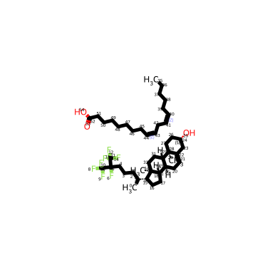 CC(CCCC(F)(C(F)(F)F)C(F)(F)F)[C@H]1CC[C@H]2[C@@H]3CC=C4C[C@@H](O)CC[C@]4(C)[C@H]3CC[C@]12C.CCCCC/C=C\C/C=C\CCCCCCCC(=O)O